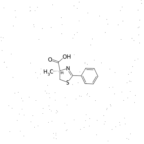 C[C@@]1(C(=O)O)CSC(c2ccccc2)=N1